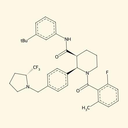 Cc1cccc(F)c1C(=O)N1CCC[C@H](C(=O)Nc2cccc(C(C)(C)C)c2)[C@@H]1c1ccc(CN2CCC[C@@H]2C(F)(F)F)cc1